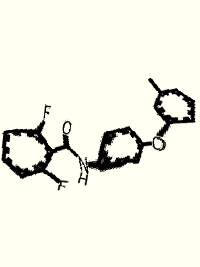 Cc1cccc(Oc2ccc(NC(=O)c3c(F)cccc3F)cc2)c1